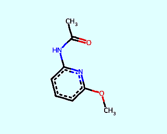 COc1cccc(NC(C)=O)n1